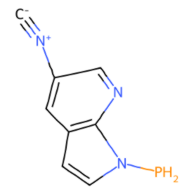 [C-]#[N+]c1cnc2c(ccn2P)c1